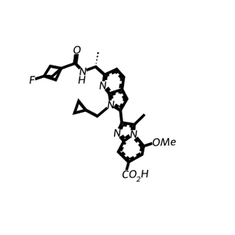 COc1cc(C(=O)O)cc2nc(-c3cc4ccc([C@@H](C)NC(=O)C56CC(F)(C5)C6)nc4n3CC3CC3)c(C)n12